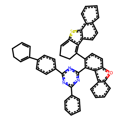 C1=CC(c2ccc(-c3nc(-c4ccccc4)nc(-c4c(C5=c6c(sc7c6ccc6ccccc67)=CCC5)ccc5oc6ccccc6c45)n3)cc2)=CCC1